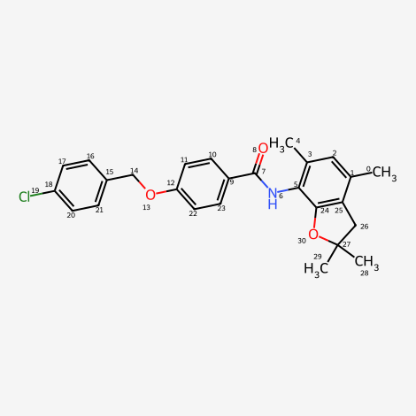 Cc1cc(C)c(NC(=O)c2ccc(OCc3ccc(Cl)cc3)cc2)c2c1CC(C)(C)O2